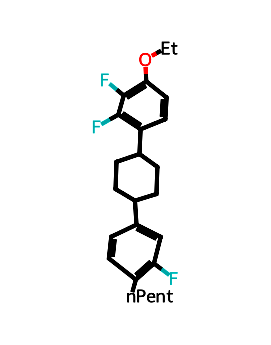 CCCCCc1ccc(C2CCC(c3ccc(OCC)c(F)c3F)CC2)cc1F